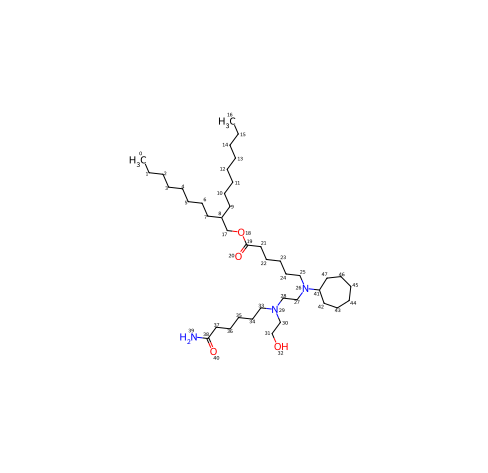 CCCCCCCCC(CCCCCCCC)COC(=O)CCCCCN(CCN(CCO)CCCCCC(N)=O)C1CCCCCC1